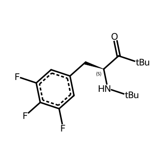 CC(C)(C)N[C@@H](Cc1cc(F)c(F)c(F)c1)C(=O)C(C)(C)C